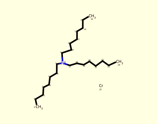 CCCCCCCCN(CCCCCCCC)CCCCCCCC.[Cr]